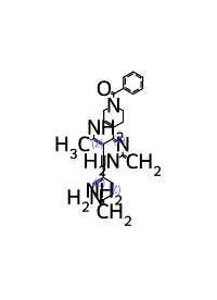 C=C(N)/C=C\C(C#CC(/C(=N\C(=C)N)C1=CCN(C(=O)c2ccccc2)CC1)=C(\C)N)=C/N